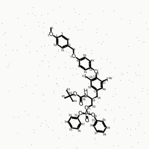 COc1ccc(COc2ccc(Oc3c(I)cc(C[C@@H](COP(=O)(Oc4ccccc4)Oc4ccccc4)NC(=O)OC(C)(C)C)cc3I)cc2)cc1